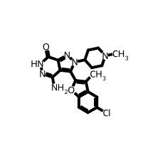 Cc1c(-c2c3c(N)n[nH]c(=O)c3nn2C2CCN(C)CC2)oc2ccc(Cl)cc12